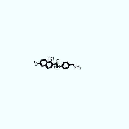 COc1ccc2c(O)c(C(=O)Nc3ccc(CN)cc3)ccc2c1